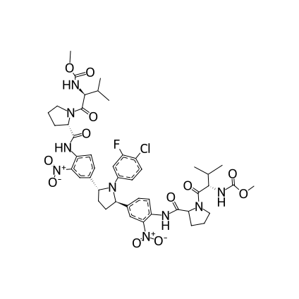 COC(=O)N[C@H](C(=O)N1CCCC1C(=O)Nc1ccc([C@H]2CC[C@H](c3ccc(NC(=O)[C@@H]4CCCN4C(=O)[C@@H](NC(=O)OC)C(C)C)c([N+](=O)[O-])c3)N2c2ccc(Cl)c(F)c2)cc1[N+](=O)[O-])C(C)C